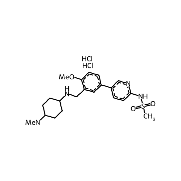 CNC1CCC(NCc2cc(-c3ccc(NS(C)(=O)=O)nc3)ccc2OC)CC1.Cl.Cl